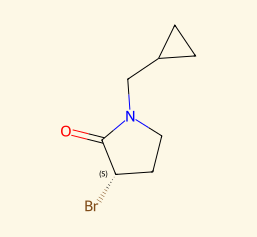 O=C1[C@@H](Br)CCN1CC1CC1